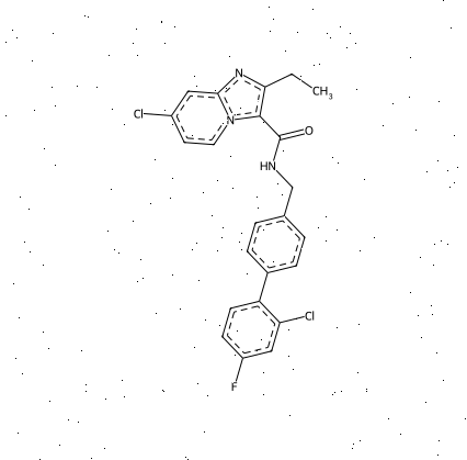 CCc1nc2cc(Cl)ccn2c1C(=O)NCc1ccc(-c2ccc(F)cc2Cl)cc1